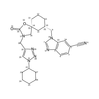 N#Cc1ccc2ncn(C[C@H]3CCC[C@]4(C3)CN(Cc3cn(C5CCCCC5)nn3)C(=O)O4)c2c1